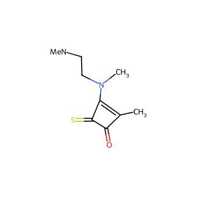 CNCCN(C)c1c(C)c(=O)c1=S